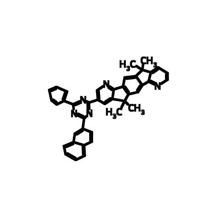 CC1(C)c2cc3c(cc2-c2ncccc21)C(C)(C)c1cc(-c2nc(-c4ccccc4)nc(-c4ccc5ccccc5c4)n2)cnc1-3